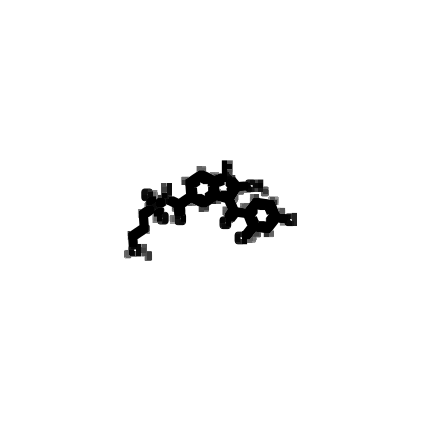 CCCCS(=O)(=O)NC(=O)c1ccc2[nH]c(C)c(C(=O)c3ccc(Cl)cc3Cl)c2c1